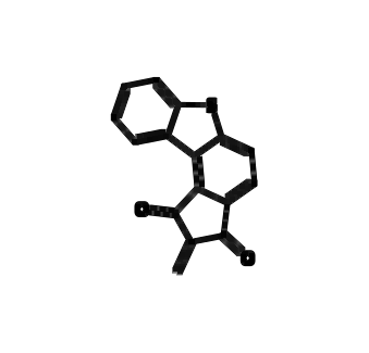 C=C1C(=O)c2ccc3sc4ccccc4c3c2C1=O